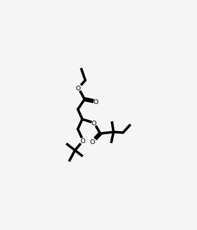 CCOC(=O)CC(COC(C)(C)C)OC(=O)C(C)(C)CC